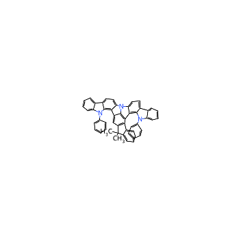 CC1(C)c2ccccc2-c2c1cc1c3c4c(ccc3n3c5ccc6c7ccccc7n(-c7ccccc7)c6c5c2c13)c1ccccc1n4-c1ccccc1